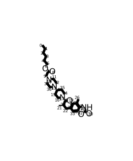 CCCCCCOC(=O)CN1CCN(C2CCN(C(=O)[C@H](C)Cc3cc(C)c4[nH]c(=O)oc4c3)CC2)CC1